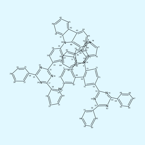 N#Cc1ccc(-c2ccc(C#N)cc2-c2cc(-c3nc(-c4ccccc4)nc(-c4ccccc4)n3)ccc2-n2c3ccccc3c3ccccc32)c(-c2cc(-c3nc(-c4ccccc4)nc(-c4ccccc4)n3)ccc2-n2c3ccccc3c3ccccc32)c1